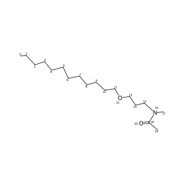 CCCCCCCCCCCCOCCCN(C)C(C)=O